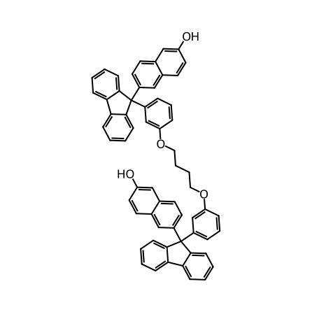 Oc1ccc2cc(C3(c4cccc(OCCCCOc5cccc(C6(c7ccc8cc(O)ccc8c7)c7ccccc7-c7ccccc76)c5)c4)c4ccccc4-c4ccccc43)ccc2c1